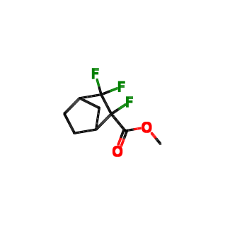 COC(=O)C1(F)C2CCC(C2)C1(F)F